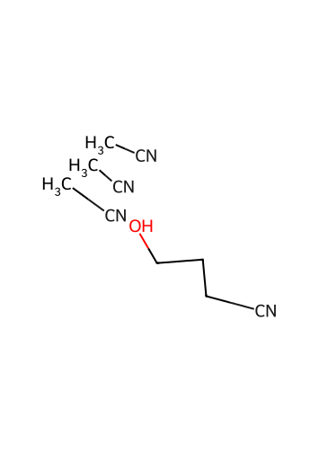 CC#N.CC#N.CC#N.N#CCCCO